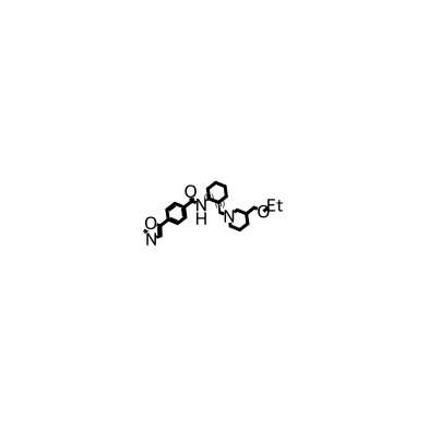 CCOCC1CCCN(C[C@@H]2CCCC[C@H]2NC(=O)c2ccc(-c3cnco3)cc2)C1